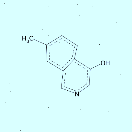 Cc1ccc2c(O)cncc2c1